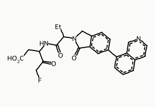 CCC(C(=O)NC(CC(=O)O)C(=O)CF)N1Cc2ccc(-c3cccc4ccncc34)cc2C1=O